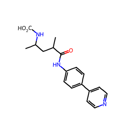 CC(CC(C)C(=O)Nc1ccc(-c2ccncc2)cc1)NC(=O)O